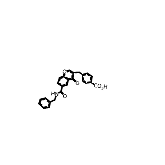 O=C(O)c1ccc(Cc2coc3ccc(C(=O)NCc4ccccc4)cc3c2=O)cc1